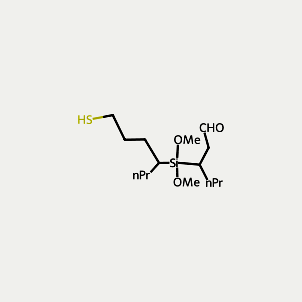 CCCC(CC=O)[Si](OC)(OC)C(CCC)CCCS